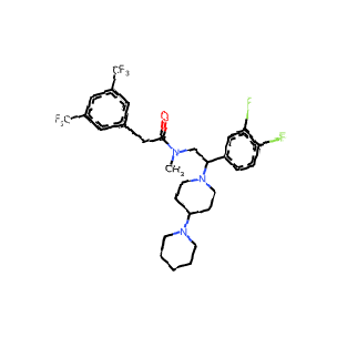 CN(CC(c1ccc(F)c(F)c1)N1CCC(N2CCCCC2)CC1)C(=O)Cc1cc(C(F)(F)F)cc(C(F)(F)F)c1